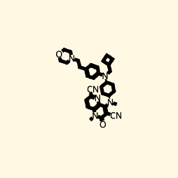 Cn1c(=O)c(C#N)c(N(C)[C@H]2CC[C@H](N(CC3CCC3)c3ccc(CCN4CCOCC4)cc3)CC2)c2nc(C#N)ccc21